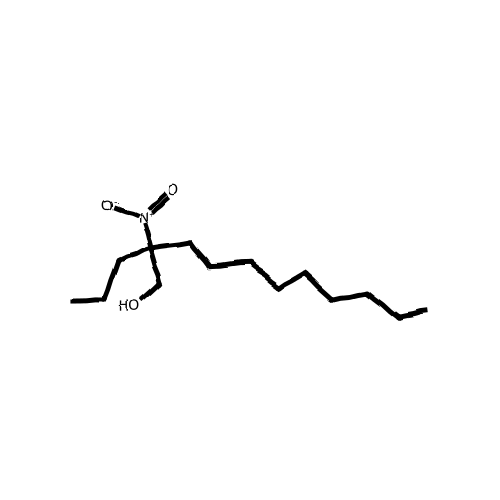 CCCCCCCCCC(CO)(CCC)[N+](=O)[O-]